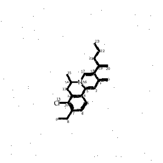 C=C1C=C2c3ccc(CC)c(Cl)c3CC(C)N2C=C1C(=C)CCC